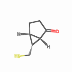 O=C1CC[C@H]2[C@@H](CS)[C@@H]12